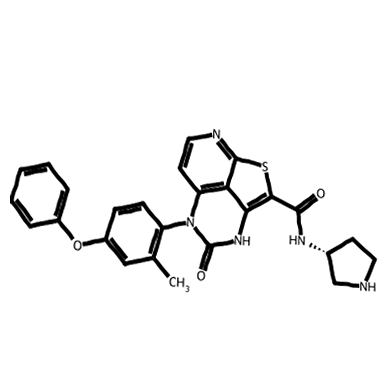 Cc1cc(Oc2ccccc2)ccc1N1C(=O)Nc2c(C(=O)N[C@@H]3CCNC3)sc3nccc1c23